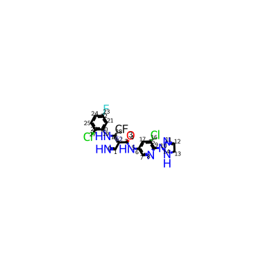 N=C/C(C(=O)Nc1cnc(N2N=CCN2)c(Cl)c1)=C(\Nc1cc(F)ccc1Cl)C(F)(F)F